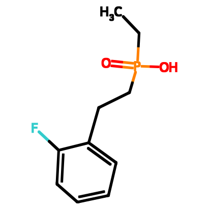 CCP(=O)(O)CCc1ccccc1F